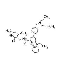 CCCCN(CCC)Cc1ccc(-c2cc(C(=O)NCc3c(C)cc(C)[nH]c3=O)c(C)c(N(CC)C3CCCCC3)c2)cc1